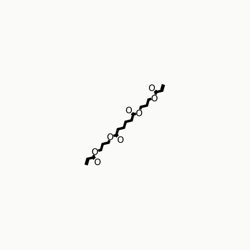 C=CC(=O)OCCCOC(=O)CCCCC(=O)OCCCOC(=O)C=C